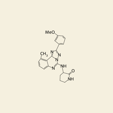 COc1cccc(-c2nc3c4c(C)cccc4nc(NC4CCCNC4=O)n3n2)c1